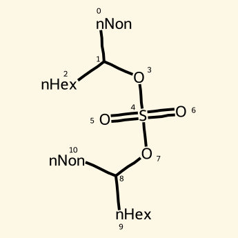 CCCCCCCCCC(CCCCCC)OS(=O)(=O)OC(CCCCCC)CCCCCCCCC